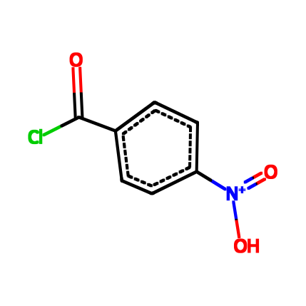 O=C(Cl)c1ccc([N+](=O)O)cc1